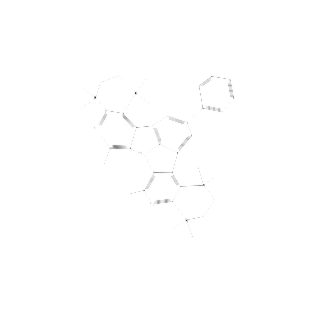 Cc1nc2c(c3c4cc(-c5ccccc5)cc5c6c7c(nc(C)c6n(c13)c45)C(C)(C)CCC7(C)C)C(C)(C)CCC2(C)C